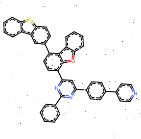 c1ccc(-c2nc(-c3ccc(-c4ccncc4)cc3)cc(-c3ccc(-c4ccc5sc6ccccc6c5c4)c4c3oc3ccccc34)n2)cc1